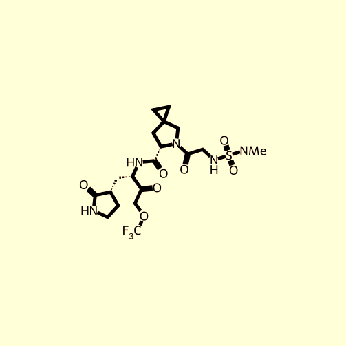 CNS(=O)(=O)NCC(=O)N1CC2(CC2)C[C@H]1C(=O)N[C@@H](C[C@@H]1CCNC1=O)C(=O)COC(F)(F)F